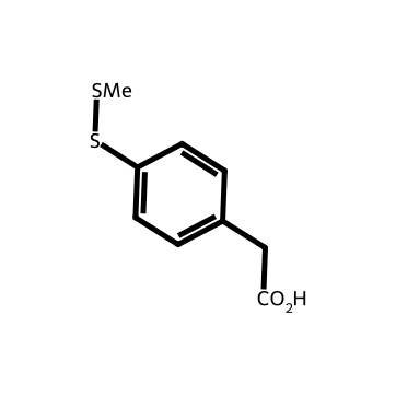 CSSc1ccc(CC(=O)O)cc1